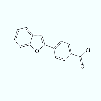 O=C(Cl)c1ccc(-c2cc3ccccc3o2)cc1